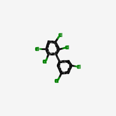 Clc1cc(Cl)cc(-c2c(Cl)c(Cl)cc(Cl)c2Cl)c1